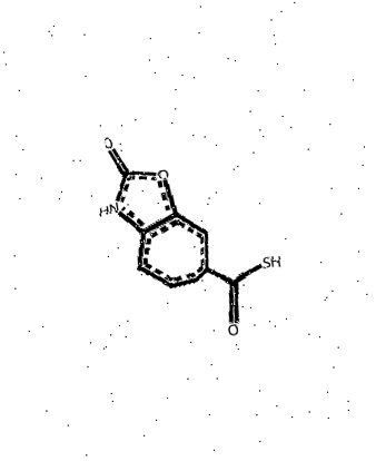 O=C(S)c1ccc2[nH]c(=O)oc2c1